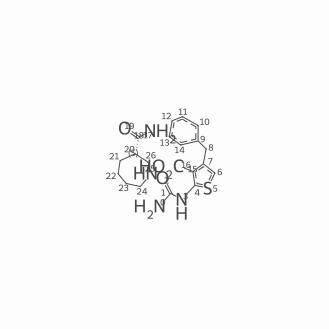 NC(=O)Nc1scc(Cc2ccccc2)c1C(=O)O.NC(=O)[C@H]1CCCCNC1